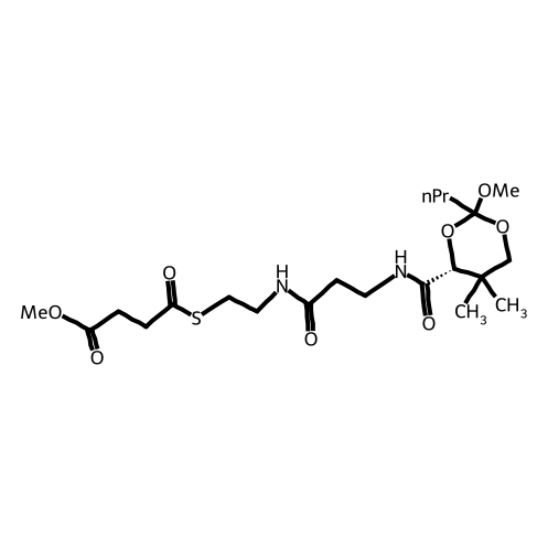 CCCC1(OC)OCC(C)(C)[C@H](C(=O)NCCC(=O)NCCSC(=O)CCC(=O)OC)O1